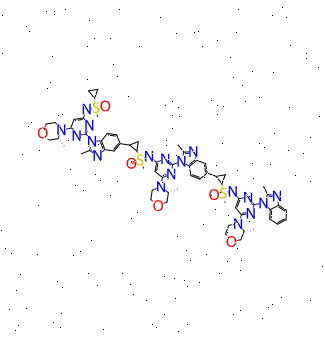 Cc1nc2cc(C3CC3S(C)(=O)=Nc3cc(N4CCOC[C@H]4C)nc(-n4c(C)nc5cc(C6CC6[S@](C)(=O)=Nc6cc(N7CCOC[C@H]7C)nc(-n7c(C)nc8ccccc87)n6)ccc54)n3)ccc2n1-c1nc(N=S(C)(=O)C2CC2)cc(N2CCOC[C@H]2C)n1